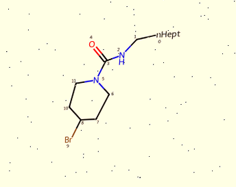 CCCCCCCCNC(=O)N1CCC(Br)CC1